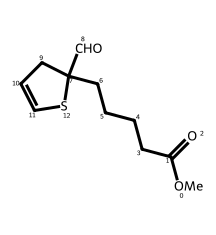 COC(=O)CCCCC1(C=O)CC=CS1